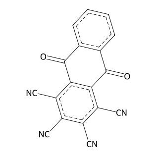 N#Cc1c(C#N)c(C#N)c2c(c1C#N)C(=O)c1ccccc1C2=O